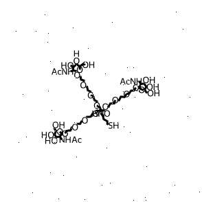 CC(=O)NC1C(OCCCOCCCOCCCOCC(COCCCOCCCOCCCOC2OC(CO)C(O)C(O)C2NC(C)=O)(COCCCOCCCOCCCOC2OC(CO)C(O)C(O)C2NC(C)=O)NC(=O)CCCS)OC(CO)C(O)C1O